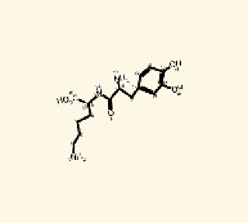 NCCCC[C@H](NC(=O)[C@@H](N)Cc1ccc(O)c(O)c1)C(=O)O